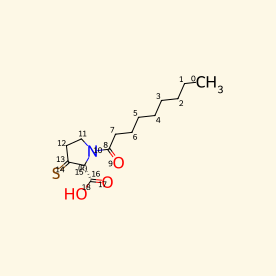 CCCCCCCCC(=O)N1CCC(=S)[C@H]1C(=O)O